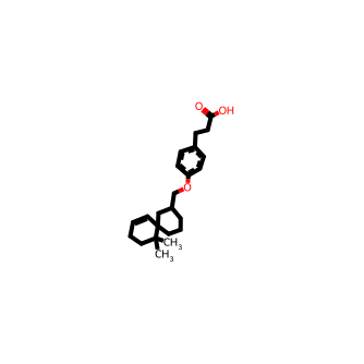 CC1(C)CCC=CC12CCCC(COc1ccc(CCC(=O)O)cc1)C2